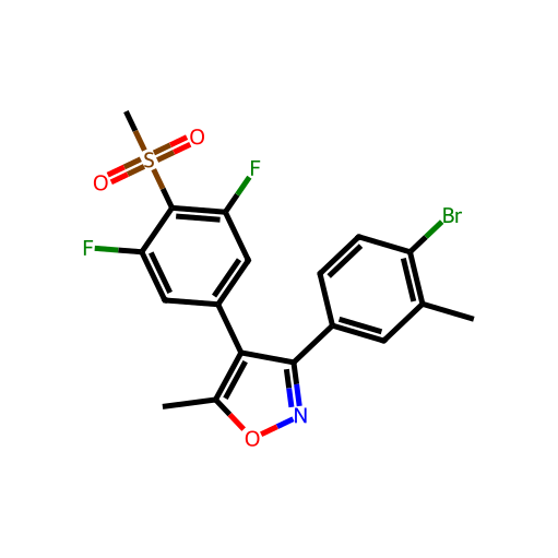 Cc1cc(-c2noc(C)c2-c2cc(F)c(S(C)(=O)=O)c(F)c2)ccc1Br